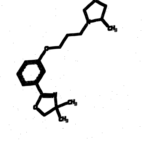 CC1CCCN1CCCOc1cccc(C2=NC(C)(C)CO2)c1